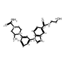 CC1CN(C(N)=O)CCN1c1cccc(-n2cnc3cc(C(=O)OCCO)ccc32)c1